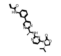 C=CC(=O)Nc1cccc(-c2cnc([C@H](C)Nc3nccc(N4C(=O)OC[C@@H]4C(C)C)n3)nc2)c1